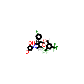 C[C@@H](O[C@H]1OC[C@@H]2CN(C3=CC(=O)CC3O)C[C@H]2[C@@H]1c1ccc(F)cc1)c1cc(C(F)(F)F)cc(C(F)(F)F)c1